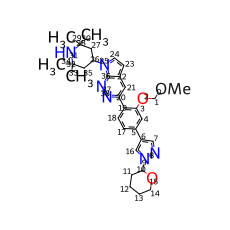 COCOc1cc(-c2cnn(C3CCCCO3)c2)ccc1-c1cc2ccn(C3CC(C)(C)NC(C)(C)C3)c2nn1